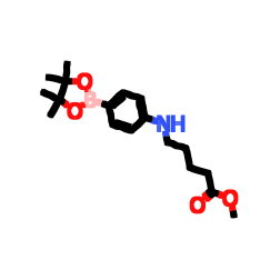 COC(=O)CCCCNc1ccc(B2OC(C)(C)C(C)(C)O2)cc1